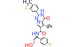 Cc1ccc(-c2nn3cc(C(=O)N[C@H](CCO)c4ccc(F)cc4)c(C(C)C)c3c(=O)[nH]2)cc1F